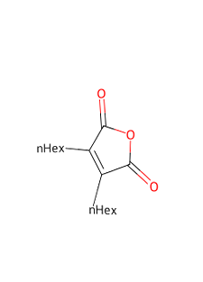 CCCCCCC1=C(CCCCCC)C(=O)OC1=O